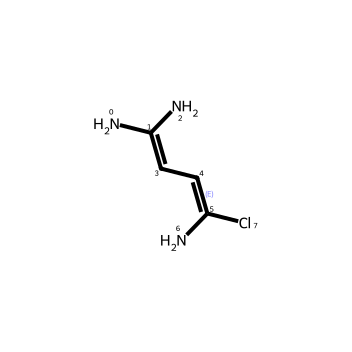 NC(N)=C/C=C(\N)Cl